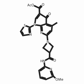 COc1cccc(NC(=O)C2CN(c3cc(C)c4c(=O)c(C(=O)OC(C)=O)cn(-c5nccs5)c4n3)C2)n1